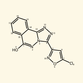 Oc1nn2c(-c3cc(Cl)on3)nnc2c2ccccc12